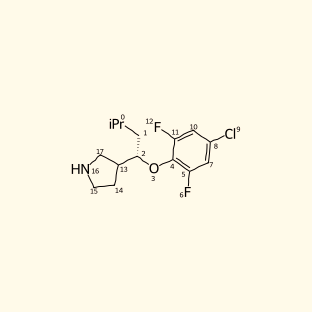 CC(C)C[C@H](Oc1c(F)cc(Cl)cc1F)C1CCNC1